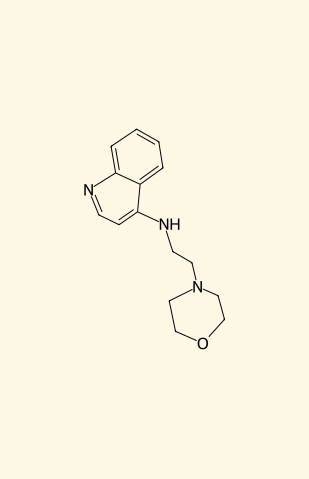 c1ccc2c(NCCN3CCOCC3)ccnc2c1